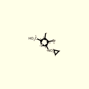 C1CC1.Cc1c(C(=O)O)sc([N+](=O)[O-])c1Br